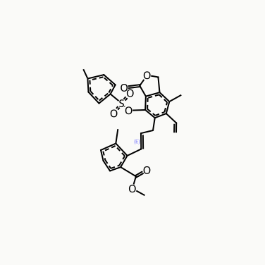 C=Cc1c(C)c2c(c(OS(=O)(=O)c3ccc(C)cc3)c1C/C=C/c1c(C)cccc1C(=O)OC)C(=O)OC2